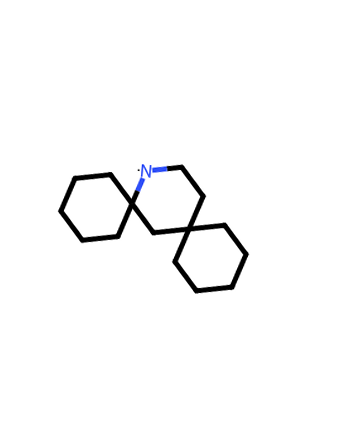 C1CCC2(CC1)CC[N]C1(CCCCC1)C2